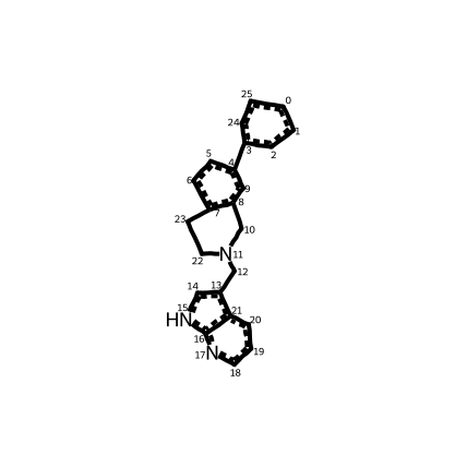 c1ccc(-c2ccc3c(c2)CN(Cc2c[nH]c4ncccc24)CC3)cc1